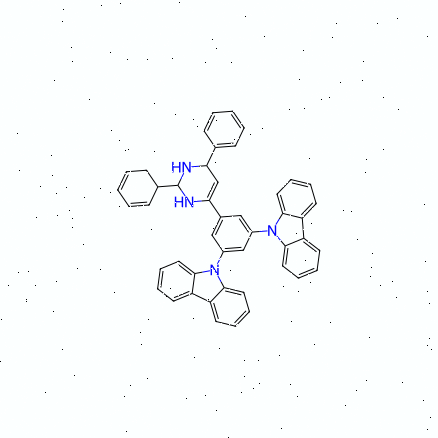 C1=CCC(C2NC(c3cc(-n4c5ccccc5c5ccccc54)cc(-n4c5ccccc5c5ccccc54)c3)=CC(c3ccccc3)N2)C=C1